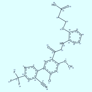 COc1cc(Cl)c(-c2cnc(C(F)(F)F)cc2C#N)cc1C(=O)CNc1ccccc1OCCC(=O)O